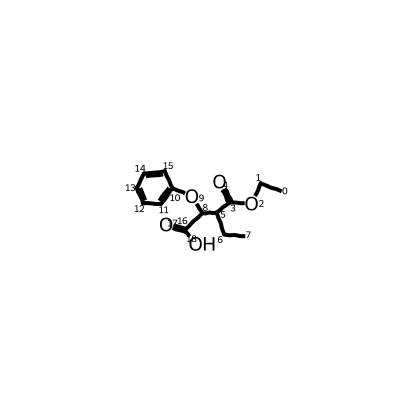 CCOC(=O)C(CC)C(Oc1ccccc1)C(=O)O